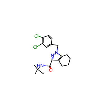 CC(C)(C)NC(=O)c1nn(Cc2ccc(Cl)c(Cl)c2)c2c1CCCC2